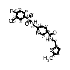 Cc1ccc(CNC(=O)c2ccc(CNS(=O)(=O)c3ccc(F)c(Cl)c3)nc2)s1